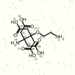 NCCOC(CC(=O)O)(CC(=O)O)C(N)(CC(=O)O)CC(=O)O